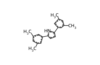 Cc1cc(C)cc(-c2ccc(-c3cc(C)cc(C)c3)[nH]2)c1